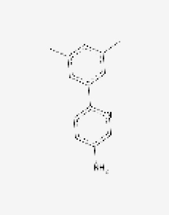 Cc1cc(C)cc(-c2ccc(N)cn2)c1